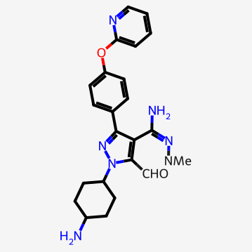 CN/N=C(/N)c1c(-c2ccc(Oc3ccccn3)cc2)nn(C2CCC(N)CC2)c1C=O